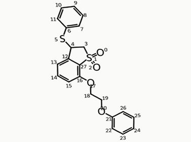 O=S1(=O)CC(Sc2ccccc2)c2cccc(OCCOc3ccccc3)c21